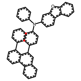 c1ccc(-c2cccc3c2c(-c2ccc(N(c4ccccc4)c4ccc5c(c4)oc4ccccc45)cc2)cc2ccccc23)cc1